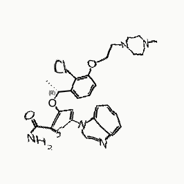 C[C@@H](Oc1cc(-n2cnc3ccccc32)sc1C(N)=O)c1cccc(OCCN2CCN(C)CC2)c1Cl